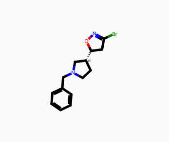 BrC1=NOC([C@@H]2CCN(Cc3ccccc3)C2)C1